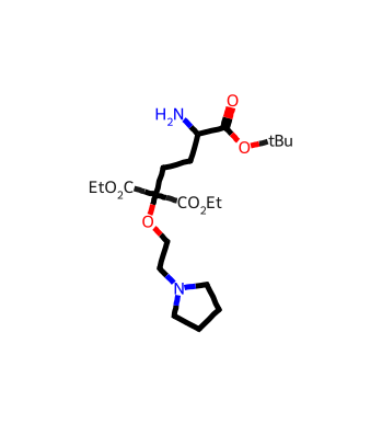 CCOC(=O)C(CCC(N)C(=O)OC(C)(C)C)(OCCN1CCCC1)C(=O)OCC